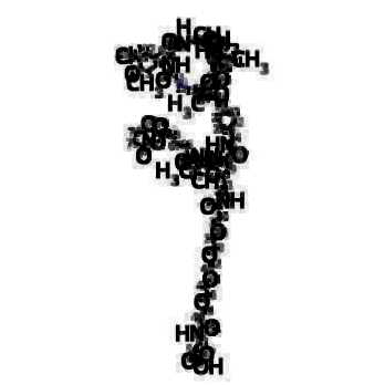 COc1ccc(C[C@H]2NC(=O)/C=C/C[C@@H]([C@H](C)[C@H]3O[C@@H]3c3ccc(CNC(=O)[C@H](CCCCNC(=O)CCOCCOCCOCCOCCC(=O)NCCS(=O)(=O)O)NC(=O)[C@@H](NC(=O)CCCC(=O)ON4C(=O)CCC4=O)C(C)C)cc3)OC(=O)[C@H](CC(C)C)OC(=O)C(C)(C)CNC2=O)cc1Cl